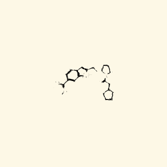 CN=C(N)c1ccc2cc(CC[C@@H]3CCCN3C(=O)CC3CCCC3)[nH]c2c1